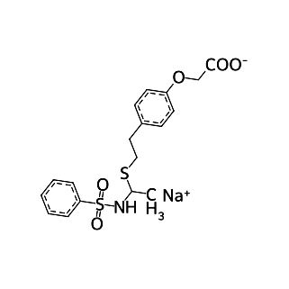 CC(NS(=O)(=O)c1ccccc1)SCCc1ccc(OCC(=O)[O-])cc1.[Na+]